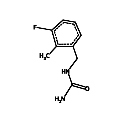 Cc1c(F)cccc1CNC(N)=O